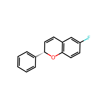 Fc1ccc2c(c1)C=C[C@@H](c1ccccc1)O2